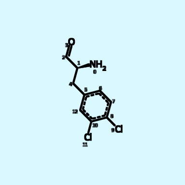 N[C@H](C=O)Cc1ccc(Cl)c(Cl)c1